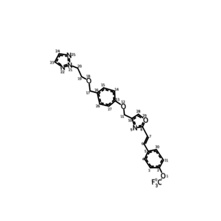 FC(F)(F)Oc1ccc(C=Cc2nc(COc3ccc(COCCn4nccn4)cc3)co2)cc1